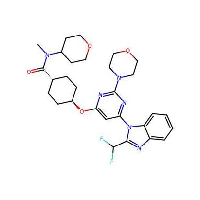 CN(C(=O)[C@H]1CC[C@H](Oc2cc(-n3c(C(F)F)nc4ccccc43)nc(N3CCOCC3)n2)CC1)C1CCOCC1